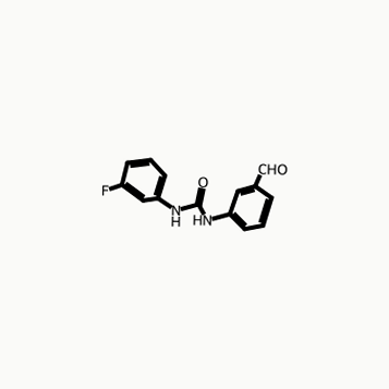 O=Cc1cccc(NC(=O)Nc2cccc(F)c2)c1